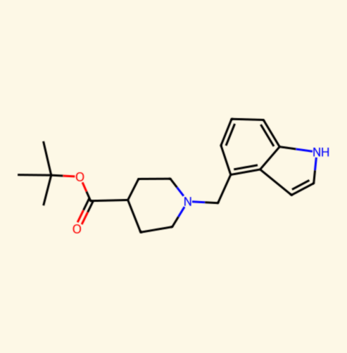 CC(C)(C)OC(=O)C1CCN(Cc2cccc3[nH]ccc23)CC1